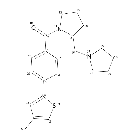 Cc1csc(-c2ccc(C(=O)N3CCCC3CN3CCCC3)cc2)c1